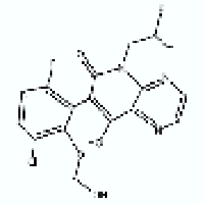 O=c1c(-c2c(F)ccc(Cl)c2OCO)c(O)c2nccnc2n1CC(F)F